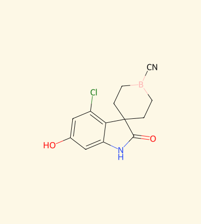 N#CB1CCC2(CC1)C(=O)Nc1cc(O)cc(Cl)c12